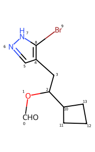 O=COC(Cc1cn[nH]c1Br)C1CCC1